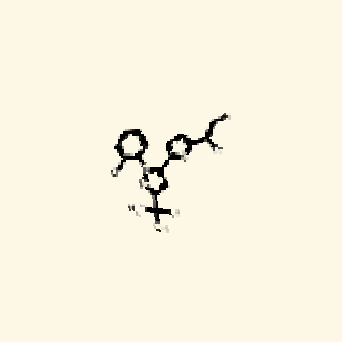 CCC=C(CC)c1ccc(-c2cc(C(C)(C)O)nn2-c2ccccc2Cl)s1